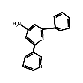 Nc1cc(-c2ccccc2)nc(-c2cccnc2)c1